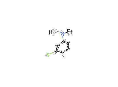 CCN(C)c1cccc(F)c1